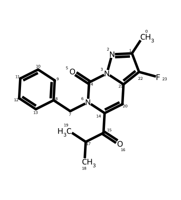 Cc1nn2c(=O)n(Cc3ccccc3)c(C(=O)C(C)C)cc2c1F